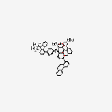 CC(C)(C)c1cc(-c2cccc3cccc(-c4ccccc4N(c4ccc(-c5cccc6c5C5C=CC=CC5C6(C)C)cc4)c4ccc(-c5cccc6c5ccc5ccccc56)cc4)c23)cc(C(C)(C)C)c1